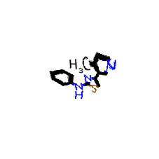 Cc1ccncc1-c1csc(Nc2ccccc2)n1